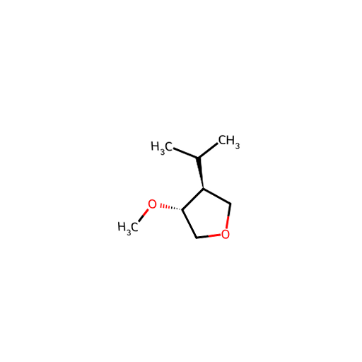 CO[C@H]1COC[C@@H]1C(C)C